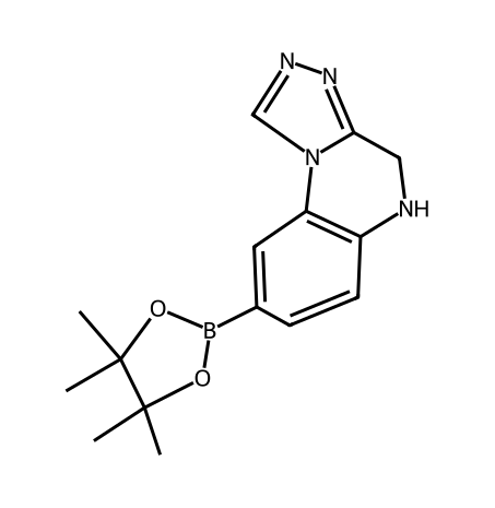 CC1(C)OB(c2ccc3c(c2)-n2cnnc2CN3)OC1(C)C